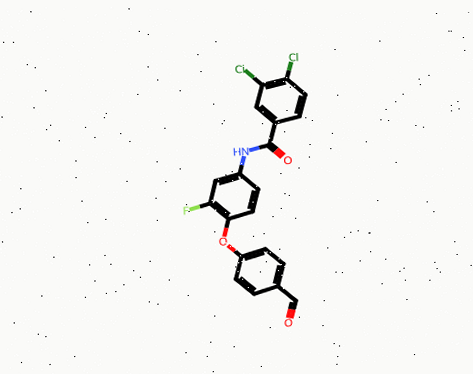 O=Cc1ccc(Oc2ccc(NC(=O)c3ccc(Cl)c(Cl)c3)cc2F)cc1